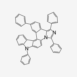 c1ccc(-c2ccc3c(c2)c2c4c5ccccc5n(-c5ccccc5)c4ccc2n2c(-c4ccccc4)nc(-c4ccccc4)c32)cc1